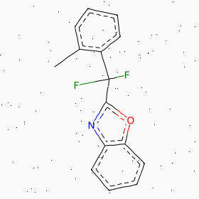 Cc1ccccc1C(F)(F)c1nc2ccccc2o1